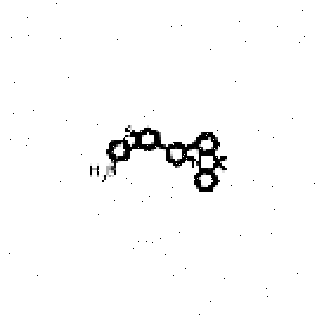 Bc1ccc2sc3ccc(-c4ccc5c(c4)c4cccc6c4n5-c4ccccc4C6(C)C)cc3c2c1